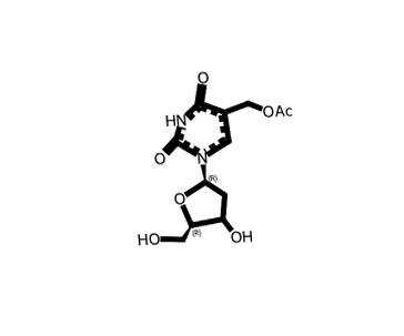 CC(=O)OCc1cn([C@H]2CC(O)[C@@H](CO)O2)c(=O)[nH]c1=O